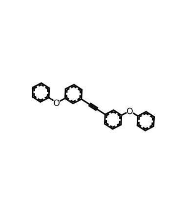 C(#Cc1cccc(Oc2ccccc2)c1)c1cccc(Oc2ccccc2)c1